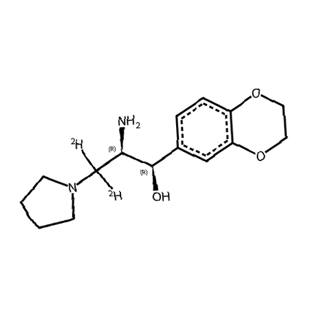 [2H]C([2H])([C@@H](N)[C@H](O)c1ccc2c(c1)OCCO2)N1CCCC1